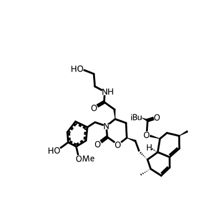 CC[C@H](C)C(=O)O[C@H]1C[C@@H](C)C=C2C=C[C@H](C)[C@H](CC[C@@H]3C[C@H](CC(=O)NCCO)N(Cc4ccc(O)c(OC)c4)C(=O)O3)[C@H]21